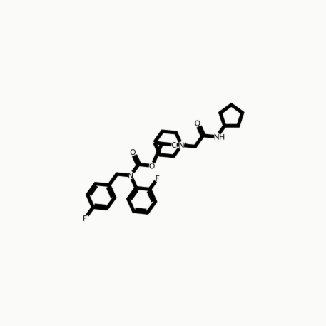 O=C(C[N+]12CCC(CC1)C(OC(=O)N(Cc1ccc(F)cc1)c1ccccc1F)C2)NC1CCCC1